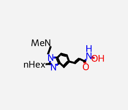 CCCCCCc1nc2cc(/C=C/C(=O)NO)ccc2n1CCNC